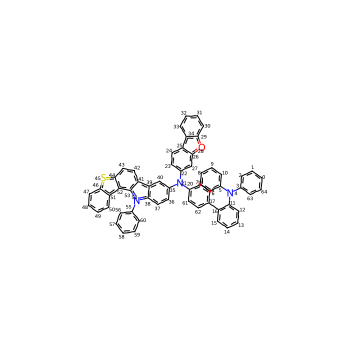 c1ccc(N(c2ccccc2)c2ccccc2-c2ccc(N(c3ccc4c(c3)oc3ccccc34)c3ccc4c(c3)c3ccc5sc6ccccc6c5c3n4-c3ccccc3)cc2)cc1